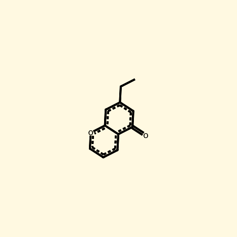 CCc1cc2occcc-2c(=O)c1